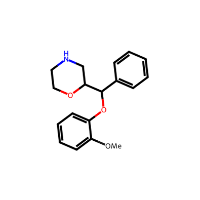 COc1ccccc1OC(c1ccccc1)C1CNCCO1